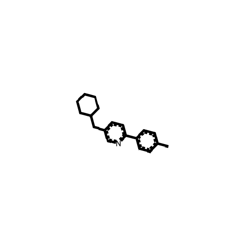 Cc1ccc(-c2ccc(CC3CCCCC3)cn2)cc1